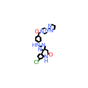 O=C1Cc2cnc(Nc3ccc(C(=O)N4CCN(c5ncccn5)CC4)cc3)nc2-c2ccc(Cl)cc2N1